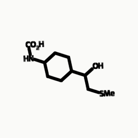 CSCC(O)C1CCC(NC(=O)O)CC1